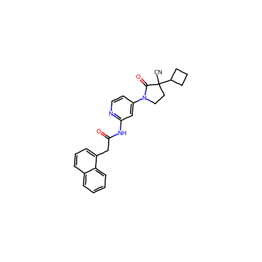 N#CC1(C2CCC2)CCN(c2ccnc(NC(=O)Cc3cccc4ccccc34)c2)C1=O